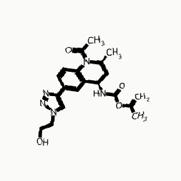 C=C(C)OC(=O)N[C@@H]1C[C@H](C)N(C(C)=O)c2ccc(-c3cn(CCO)nn3)cc21